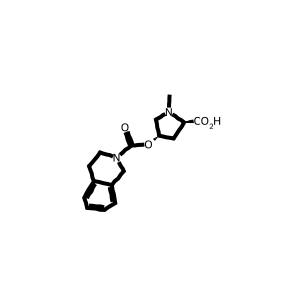 CN1C[C@@H](OC(=O)N2CCc3ccccc3C2)C[C@@H]1C(=O)O